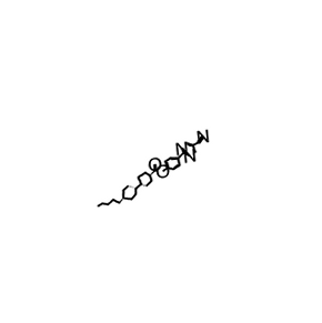 CCCCC[C@H]1CC[C@H]([C@H]2CC[C@H](C(=O)Oc3ccc(-c4ncc(C#N)cn4)cc3)CC2)CC1